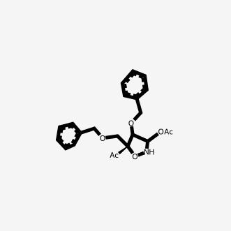 CC(=O)OC1NO[C@@](COCc2ccccc2)(C(C)=O)C1OCc1ccccc1